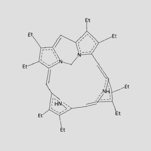 CCc1c2[nH]c(c1CC)/C=c1/c(CC)c(CC)c3n1Cn1c(c(CC)c(CC)c1/C=c1\[nH]/c(c(CC)c1CC)=C\2)C=3